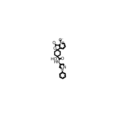 O=C1OC2(CCC(O)(C(=O)Nc3cnn(-c4ccccc4)c3)CC2)c2ccc[n+]([O-])c21